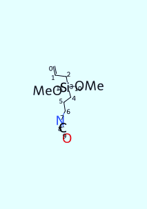 C=CC[Si](CCCN=C=O)(OC)OC